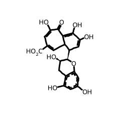 O=C(O)C1=CC2C(=C(O)C(O)=CC2[C@H]2Oc3cc(O)cc(O)c3C[C@H]2O)C(=O)C(O)=C1